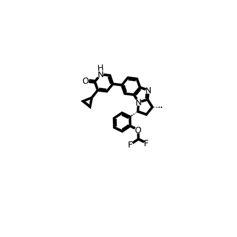 C[C@@H]1C[C@H](c2ccccc2OC(F)F)n2c1nc1ccc(-c3c[nH]c(=O)c(C4CC4)c3)cc12